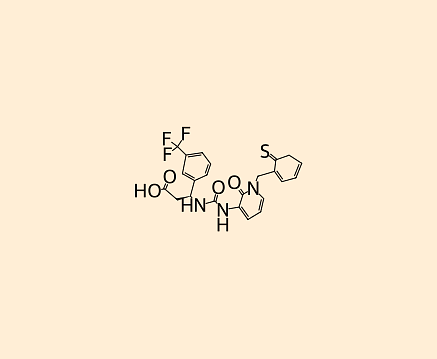 O=C(O)C[C@H](NC(=O)Nc1cccn(CC2=CC=CCC2=S)c1=O)c1cccc(C(F)(F)F)c1